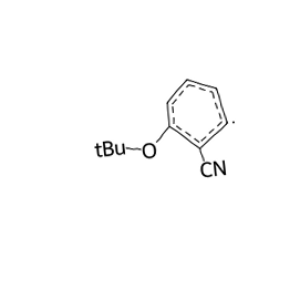 CC(C)(C)Oc1ccc[c]c1C#N